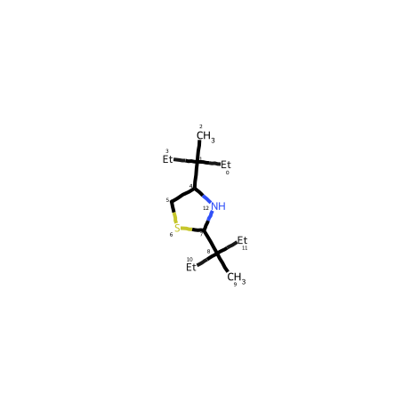 CCC(C)(CC)C1CSC(C(C)(CC)CC)N1